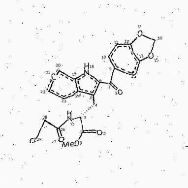 COC(=O)[C@@H](Cc1c(C(=O)c2ccc3c(c2)OCO3)[nH]c2ccccc12)NC(=O)CCl